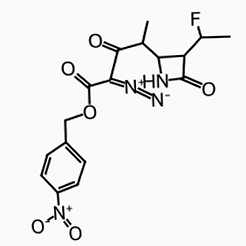 CC(F)C1C(=O)NC1C(C)C(=O)C(=[N+]=[N-])C(=O)OCc1ccc([N+](=O)[O-])cc1